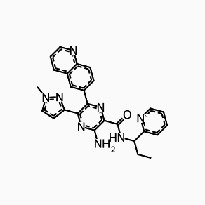 CCC(NC(=O)c1nc(-c2ccc3ncccc3c2)c(-c2ccn(C)n2)nc1N)c1ccccn1